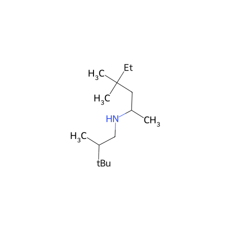 CCC(C)(C)CC(C)NCC(C)C(C)(C)C